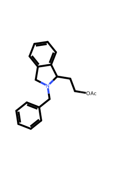 CC(=O)OCCC1c2ccccc2CN1Cc1ccccc1